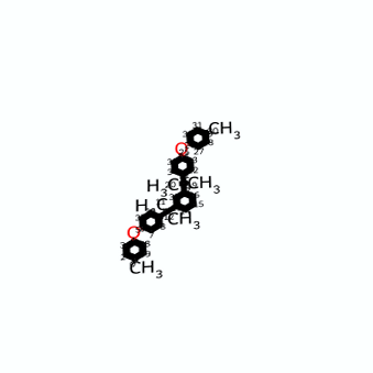 Cc1ccc(Oc2ccc(C(C)(C)c3cccc(C(C)(C)c4ccc(Oc5ccc(C)cc5)cc4)c3)cc2)cc1